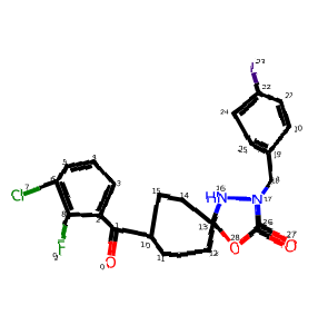 O=C(c1cccc(Cl)c1F)C1CCC2(CC1)NN(Cc1ccc(I)cc1)C(=O)O2